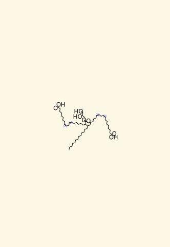 CCCCCCCCCCCCCC(CCCCC/C=C\C/C=C\CCCCCCCC(=O)O)C(CCCCC/C=C\C/C=C\CCCCCCCC(=O)O)C(=O)OCC(O)CO